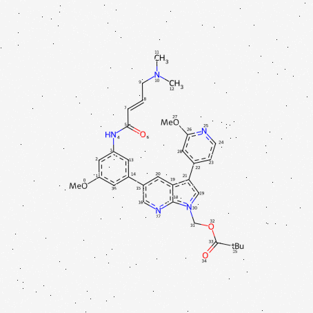 COc1cc(NC(=O)C=CCN(C)C)cc(-c2cnc3c(c2)c(-c2ccnc(OC)c2)cn3COC(=O)C(C)(C)C)c1